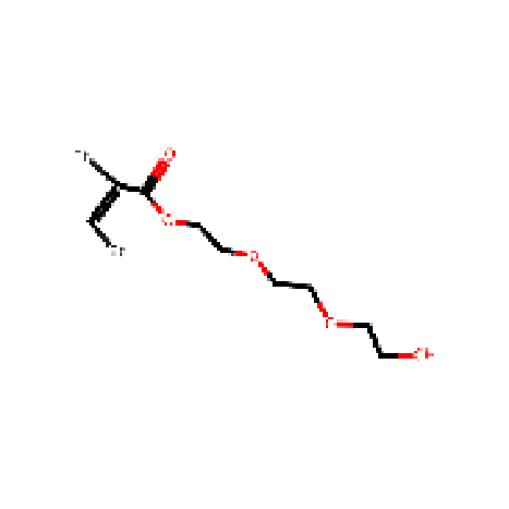 CCC=C(CC)C(=O)OCCOCCOCCO